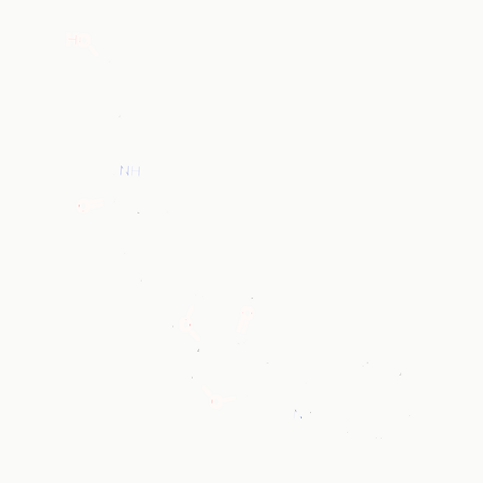 O=C(NCCCCO)c1ccc(COc2coc(CN3Cc4ccccc4C3)cc2=O)cc1